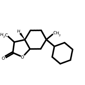 CC1C(=O)OC2CC(C)(C3CCCCC3)CC[C@H]21